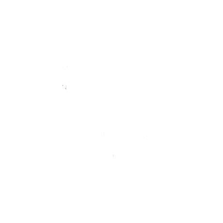 CC(=O)c1cc2ccc(N=O)cc2oc1=O